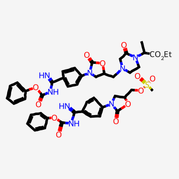 CCOC(=O)C(C)N1CCN(CC2CN(c3ccc(C(=N)NC(=O)Oc4ccccc4)cc3)C(=O)O2)CC1=O.CS(=O)(=O)OCC1CN(c2ccc(C(=N)NC(=O)Oc3ccccc3)cc2)C(=O)O1